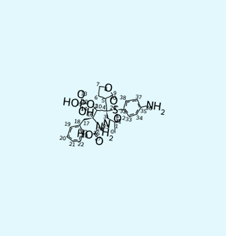 CC(C)C[C@](C1CCOC1)([C@H](OP(=O)(O)O)[C@H](Cc1ccccc1)N(N)C(=O)O)S(=O)(=O)c1ccc(N)cc1